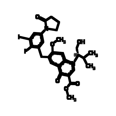 COC(=O)c1cn([C@H](CO)C(C)C)c2cc(OC)c(Cc3cc(N4CCCC4=O)cc(I)c3F)cc2c1=O